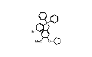 COc1ccc(C[P+](c2ccccc2)(c2ccccc2)c2ccccc2)cc1OC1CCCC1.[Br-]